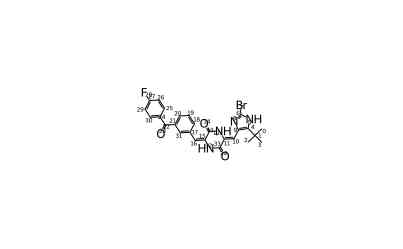 CC(C)(C)c1[nH]c(Br)nc1C=c1[nH]c(=O)c(=Cc2cccc(C(=O)c3ccc(F)cc3)c2)[nH]c1=O